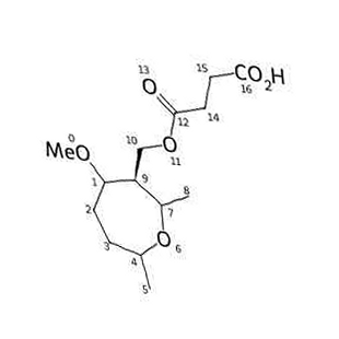 COC1CCC(C)OC(C)[C@@H]1COC(=O)CCC(=O)O